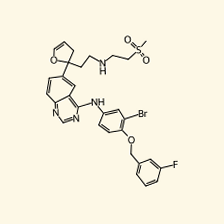 CS(=O)(=O)CCNCCC1(c2ccc3ncnc(Nc4ccc(OCc5cccc(F)c5)c(Br)c4)c3c2)CC=CO1